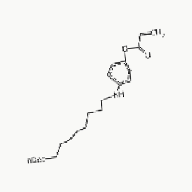 C=CC(=O)Oc1ccc(NCCCCCCCCCCCCCCCCCC)cc1